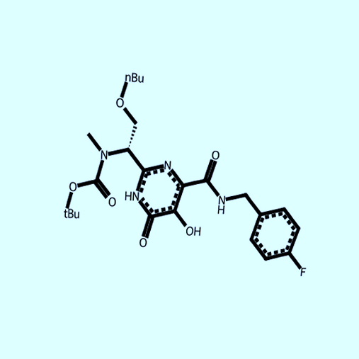 CCCCOC[C@H](c1nc(C(=O)NCc2ccc(F)cc2)c(O)c(=O)[nH]1)N(C)C(=O)OC(C)(C)C